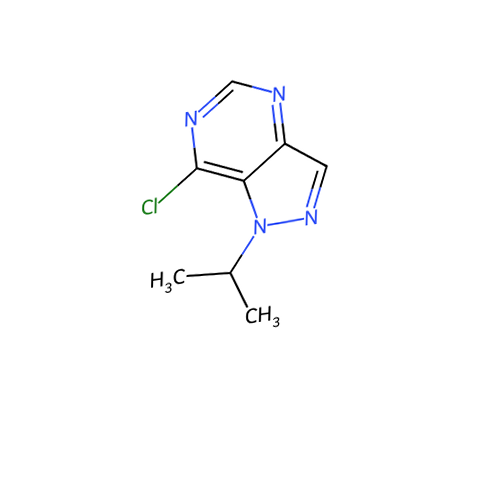 CC(C)n1ncc2ncnc(Cl)c21